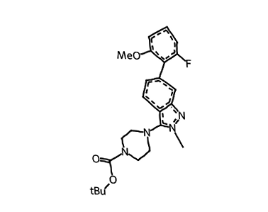 COc1cccc(F)c1-c1ccc2c(N3CCN(C(=O)OC(C)(C)C)CC3)n(C)nc2c1